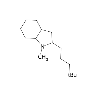 CN1C(CCCC(C)(C)C)CC2CCCCC21